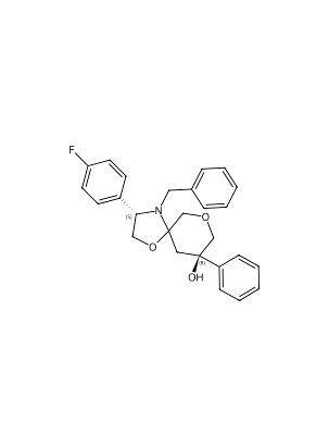 O[C@]1(c2ccccc2)COCC2(C1)OC[C@H](c1ccc(F)cc1)N2Cc1ccccc1